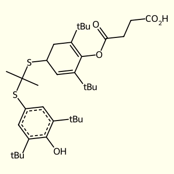 CC(C)(Sc1cc(C(C)(C)C)c(O)c(C(C)(C)C)c1)SC1C=C(C(C)(C)C)C(OC(=O)CCC(=O)O)=C(C(C)(C)C)C1